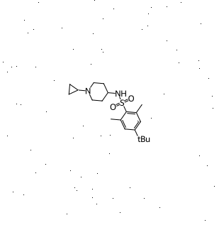 Cc1cc(C(C)(C)C)cc(C)c1S(=O)(=O)NC1CCN(C2CC2)CC1